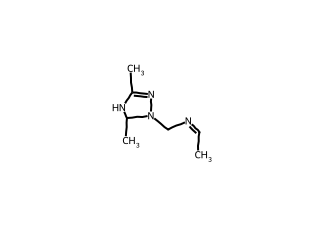 C/C=N\CN1N=C(C)NC1C